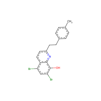 Cc1ccc(CCc2ccc3c(Br)cc(Br)c(O)c3n2)cc1